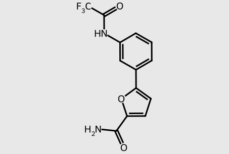 NC(=O)c1ccc(-c2cccc(NC(=O)C(F)(F)F)c2)o1